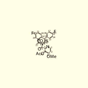 COc1ccnc(C(=O)N(C(C)C(c2ccc(F)cc2)c2ccc(F)cc2)[C@@H](C)C(=O)O)c1OC(C)=O